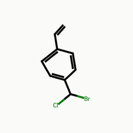 C=Cc1ccc(C(Cl)Br)cc1